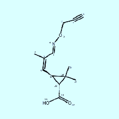 C#CCO/N=C/C(C)=C[C@@H]1[C@@H](C(=O)O)C1(C)C